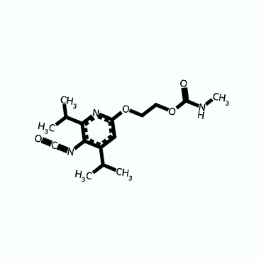 CNC(=O)OCCOc1cc(C(C)C)c(N=C=O)c(C(C)C)n1